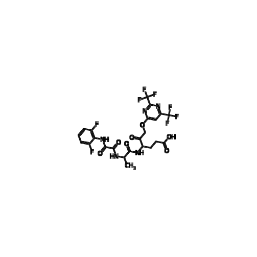 CC(NC(=O)C(=O)Nc1c(F)cccc1F)C(=O)NC(CCC(=O)O)C(=O)COc1cc(C(F)(F)F)nc(C(F)(F)F)n1